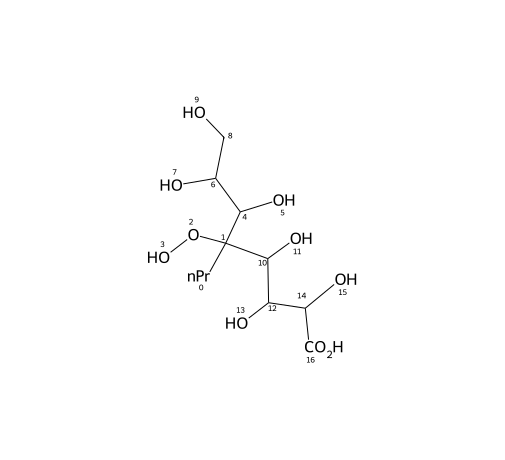 CCCC(OO)(C(O)C(O)CO)C(O)C(O)C(O)C(=O)O